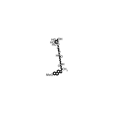 CO[C@@H]1CCC2C(CCC3C2CCC2C3CC[C@@H]2[C@H](C)CCC(=O)NCCCCCC(=O)NCCOCCOCCO[C@H]2OC(CO)[C@@H](O)C(O)C2O)C1